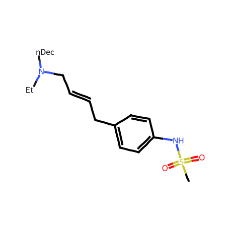 CCCCCCCCCCN(CC)C/C=C/Cc1ccc(NS(C)(=O)=O)cc1